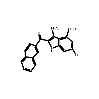 CCOC(=O)c1cc(Cl)cc2[nH]c(C(=O)c3ccc4ccccc4c3)c(NC(C)=O)c12